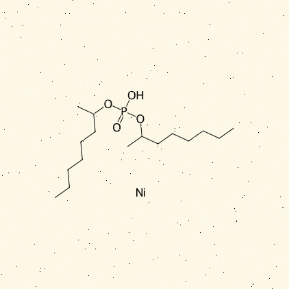 CCCCCCC(C)OP(=O)(O)OC(C)CCCCCC.[Ni]